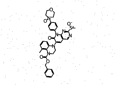 Cc1cccc2c1N(C(=O)OCc1ccccc1)CCN2c1cc2cnc([S+](C)[O-])nc2n(-c2ccc([N+]3([O-])CCOCC3)cc2)c1=O